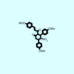 COc1ccc(/C=C/C(=O)C2C(=O)CC(c3ccc(OC)cc3)[C@H]([N+](=O)[O-])C2c2ccc(OC)cc2)cc1